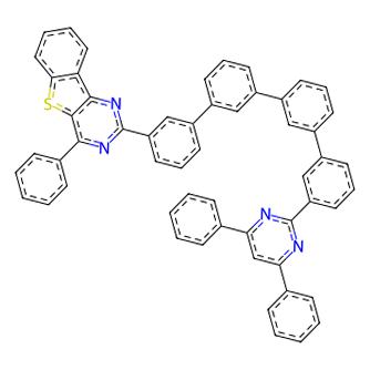 c1ccc(-c2cc(-c3ccccc3)nc(-c3cccc(-c4cccc(-c5cccc(-c6cccc(-c7nc(-c8ccccc8)c8sc9ccccc9c8n7)c6)c5)c4)c3)n2)cc1